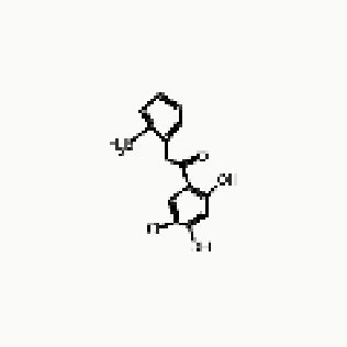 Bc1ccccc1CC(=O)c1cc(Cl)c(O)cc1O